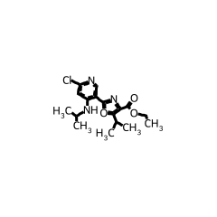 CCOC(=O)c1nc(-c2cnc(Cl)cc2NC(C)C)oc1C(C)C